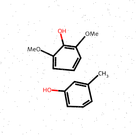 COc1cccc(OC)c1O.Cc1cccc(O)c1